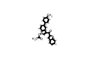 CC(=O)On1cc(C(=O)c2cc3ccccc3s2)c2cc(-c3ccc(C)cc3)ccc21